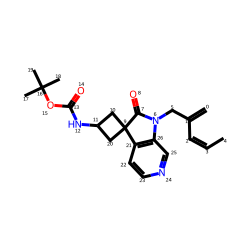 C=C(/C=C\C)CN1C(=O)C2(CC(NC(=O)OC(C)(C)C)C2)c2ccncc21